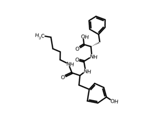 CCCCCNC(=O)C(Cc1ccc(O)cc1)NC(=O)N[C@@H](Cc1ccccc1)C(=O)O